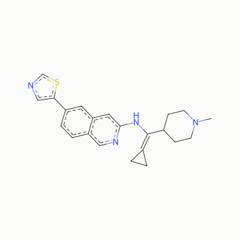 CN1CCC(C(Nc2cc3cc(-c4cncs4)ccc3cn2)=C2CC2)CC1